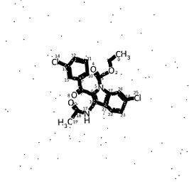 CCOC(=O)n1c(C(=O)c2cccc(Cl)c2)c(NC(C)=O)c2ccc(Cl)cc21